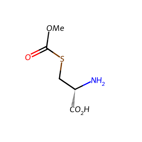 COC(=O)SC[C@H](N)C(=O)O